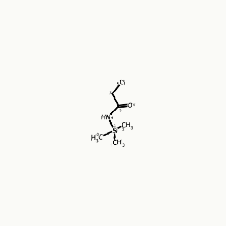 C[Si](C)(C)NC(=O)CCl